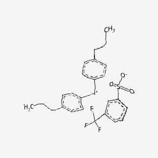 CCCc1ccc([I+]c2ccc(CCC)cc2)cc1.O=S(=O)([O-])c1cccc(C(F)(F)F)c1